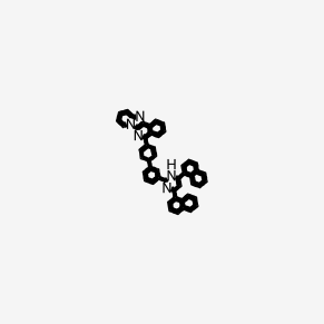 C1=CC(c2cccc(C3N=C(c4cccc5ccccc45)C=C(c4cccc5ccccc45)N3)c2)CC=C1c1nc2c(nc3ccccn32)c2ccccc12